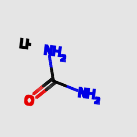 NC(N)=O.[Li]